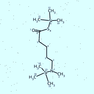 CN(CCCCC(=O)S[Si](C)(C)C)[Si](C)(C)C